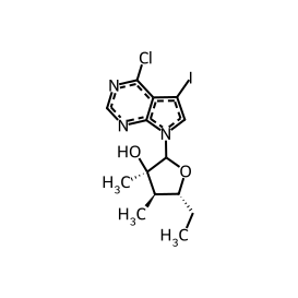 CC[C@H]1OC(n2cc(I)c3c(Cl)ncnc32)[C@](C)(O)[C@@H]1C